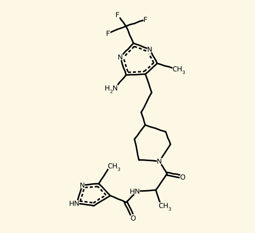 Cc1n[nH]cc1C(=O)NC(C)C(=O)N1CCC(CCc2c(C)nc(C(F)(F)F)nc2N)CC1